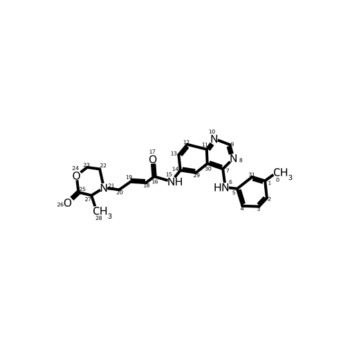 Cc1cccc(Nc2ncnc3ccc(NC(=O)C=CCN4CCOC(=O)C4C)cc23)c1